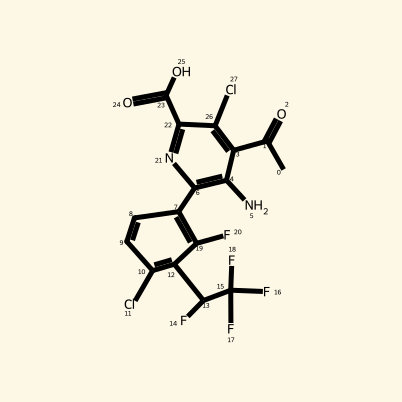 CC(=O)c1c(N)c(-c2ccc(Cl)c(C(F)C(F)(F)F)c2F)nc(C(=O)O)c1Cl